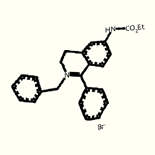 CCOC(=O)Nc1ccc2c(c1)CC[N+](Cc1ccccc1)=C2c1ccccc1.[Br-]